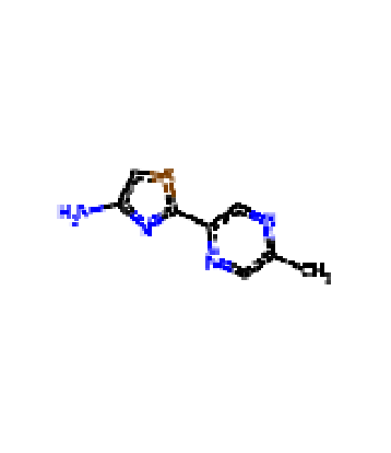 Cc1cnc(-c2nc(N)cs2)cn1